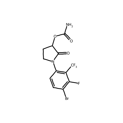 NC(=O)OC1CCN(c2ccc(Br)c(F)c2C(F)(F)F)C1=O